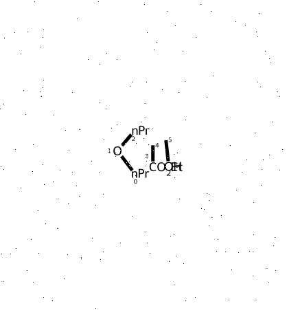 CCCOCCC.CCOC(C)=O.CO